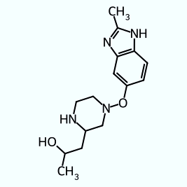 Cc1nc2cc(ON3CCNC(CC(C)O)C3)ccc2[nH]1